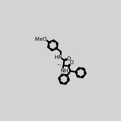 COc1ccc(CNC(=O)[C@](C)(N)C(=O)C(c2ccccc2)c2ccccc2)cc1